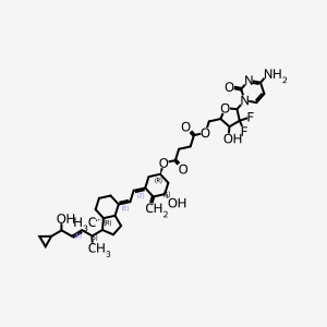 C=C1/C(=C\C=C2/CCC[C@@]3(C)C2CCC3[C@@H](C)/C=C/C(O)C2CC2)C[C@@H](OC(=O)CCC(=O)OCC2OC(n3ccc(N)nc3=O)C(F)(F)C2O)C[C@@H]1O